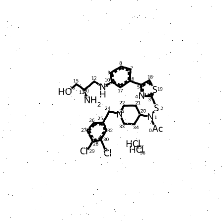 CC(=O)N(Sc1nc(-c2cccc(NC[C@@H](N)CO)c2)cs1)C1CCN(Cc2ccc(Cl)c(Cl)c2)CC1.Cl.Cl